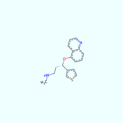 CNCC[C@H](Oc1cccc2ncccc12)c1ccsc1